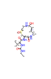 CCNC(=O)N[C@H](C(=O)N[C@H]1C[S+]([O-])CCNC(O)/C=C/[C@H](C)NC1=O)C(C)C